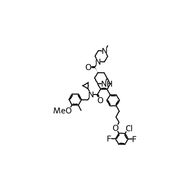 COc1cccc(CN(C(=O)C2=C(c3ccc(CCCOc4c(F)ccc(F)c4Cl)cc3)CC3C[C@@H](C(=O)N4CCN(C)CC4)CC2N3)C2CC2)c1C